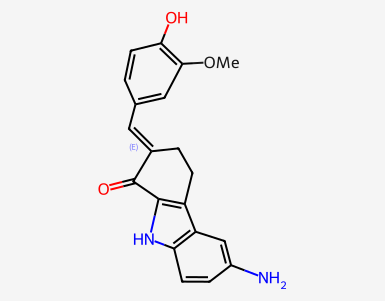 COc1cc(/C=C2\CCc3c([nH]c4ccc(N)cc34)C2=O)ccc1O